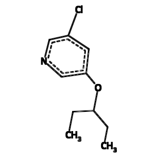 CCC(CC)Oc1cncc(Cl)c1